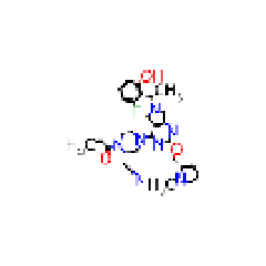 C=CC(=O)N1CCN(c2nc(OC[C@@H]3CCCN3C)nc3c2CN(C(C)c2c(O)cccc2F)C3)C[C@@H]1CC#N